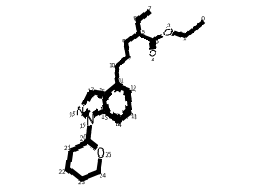 CCOC(=O)C(CC)CCCc1cccc2c1cnn2C1CCCCO1